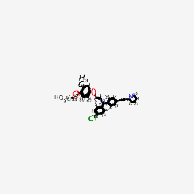 Cc1cc(OC/C=C(\c2ccc(Cl)cc2)c2ccc(C#Cc3ccccn3)cc2)ccc1OCC(=O)O